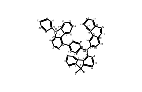 CC1(C)c2ccccc2-c2c(N(c3ccc(-c4cccc5c4c4ccccc4n5-c4ccccc4)cc3)c3ccc4ccc5ccccc5c4c3)cccc21